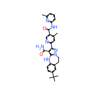 Cc1cccc(NC(=O)c2cnc(-c3nn4c(c3C(N)=O)Nc3ccc(C(C)(C)C)cc3CC4)cc2C)n1